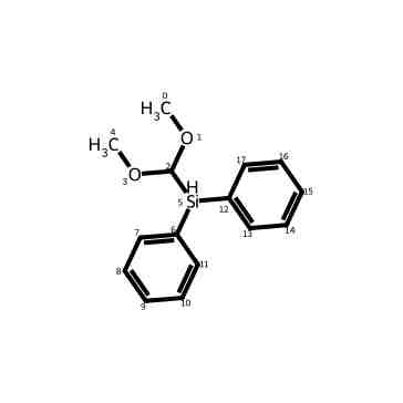 COC(OC)[SiH](c1ccccc1)c1ccccc1